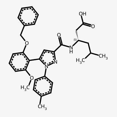 COc1cccc(OCc2ccccc2)c1-c1cc(C(=O)N[C@H](CC(=O)O)CC(C)C)nn1-c1ccc(C)cc1